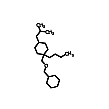 CCCCC1(COCC2CCCCC2)CCC(CC(C)C)CC1